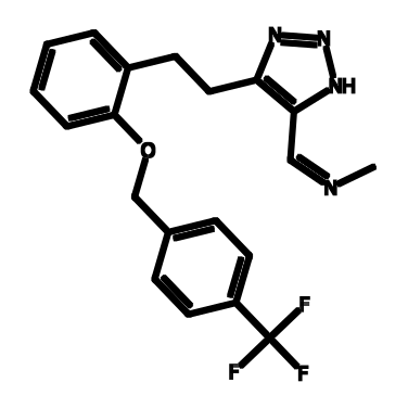 C/N=C\c1[nH]nnc1CCc1ccccc1OCc1ccc(C(F)(F)F)cc1